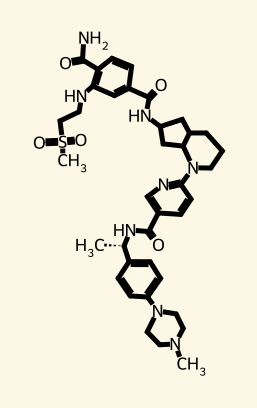 C[C@H](NC(=O)c1ccc(N2CCCC3CC(NC(=O)c4ccc(C(N)=O)c(NCCS(C)(=O)=O)c4)CC32)nc1)c1ccc(N2CCN(C)CC2)cc1